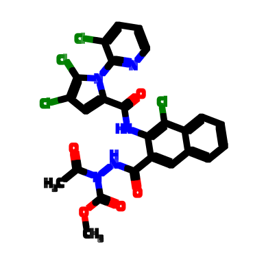 COC(=O)N(NC(=O)c1cc2ccccc2c(Cl)c1NC(=O)c1cc(Cl)c(Cl)n1-c1ncccc1Cl)C(C)=O